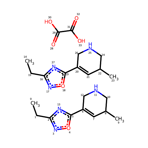 CCc1noc(C2=CC(C)CNC2)n1.CCc1noc(C2=CC(C)CNC2)n1.O=C(O)C(=O)O